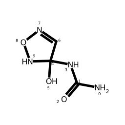 NC(=O)NC1(O)C=NON1